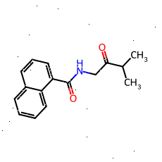 CC(C)C(=O)CNC(=O)c1cccc2ccccc12